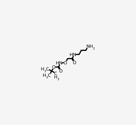 CC(C)(C)OC(=O)NOCC(=O)NCCCN